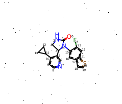 O=C1NCC(c2cnccc2C2CC2)N1c1cc2ccsc2cc1F